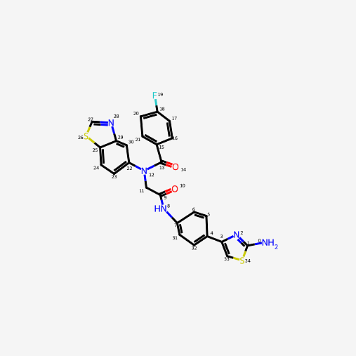 Nc1nc(-c2ccc(NC(=O)CN(C(=O)c3ccc(F)cc3)c3ccc4scnc4c3)cc2)cs1